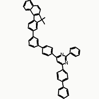 CC1(C)c2cc(-c3cccc(-c4ccc(-c5cc(-c6ccc(-c7ccccc7)cc6)nc(-c6ccccc6)n5)cc4)c3)ccc2-c2c1ccc1ccccc21